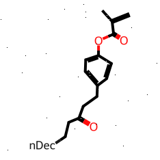 C=C(C)C(=O)Oc1ccc(CCC(=O)CCCCCCCCCCCC)cc1